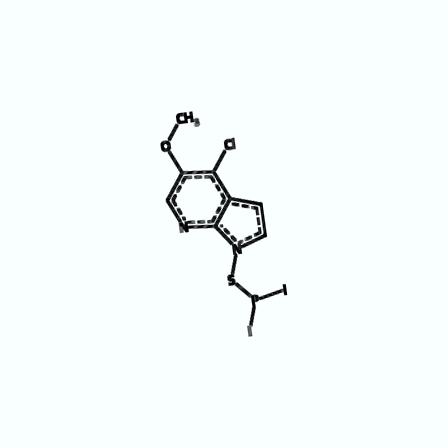 COc1cnc2c(ccn2SP(I)I)c1Cl